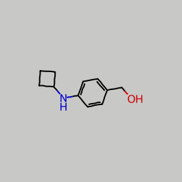 OCc1ccc(NC2CCC2)cc1